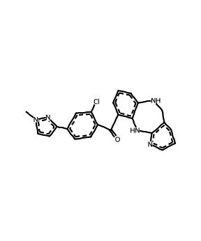 Cn1ccc(-c2ccc(C(=O)c3cccc4c3Nc3ncccc3CN4)c(Cl)c2)n1